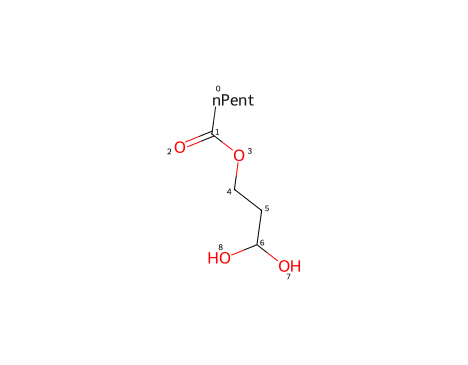 CCCCCC(=O)OCCC(O)O